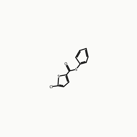 O=C(Sc1ccccc1)c1ccc(Cl)s1